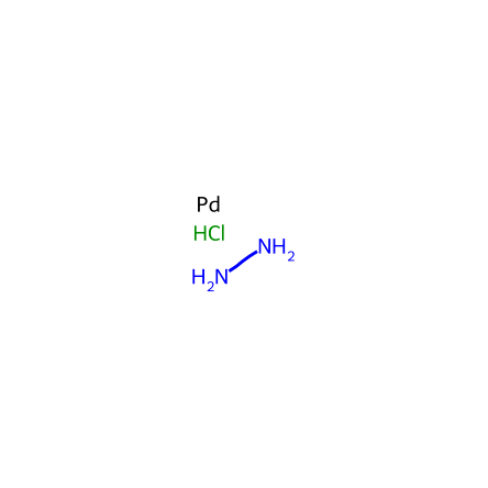 Cl.NN.[Pd]